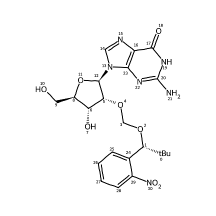 CC(C)(C)[C@@H](OCO[C@@H]1[C@H](O)[C@@H](CO)O[C@H]1n1cnc2c(=O)[nH]c(N)nc21)c1ccccc1[N+](=O)[O-]